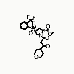 COC(=O)[C@@H]1C[C@@H](S(=O)(=O)c2ccccc2C(F)(F)F)CN1C(=O)CC(=O)C1CCOCC1